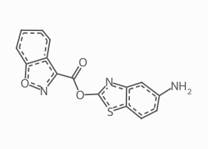 Nc1ccc2sc(OC(=O)c3noc4ccccc34)nc2c1